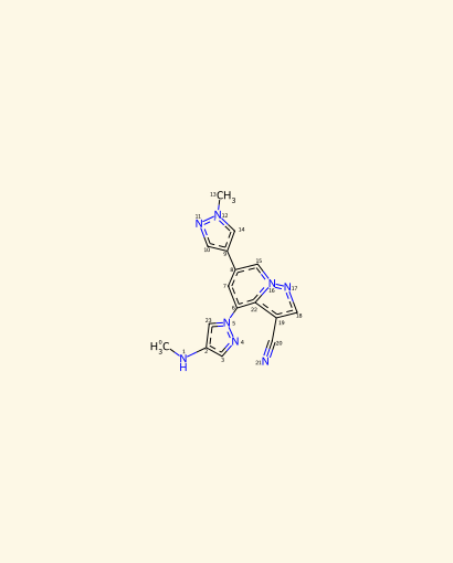 CNc1cnn(-c2cc(-c3cnn(C)c3)cn3ncc(C#N)c23)c1